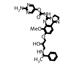 COc1c(OC[C@H](O)CN[C@@H](C)c2ccccc2)ccc2c1N=C(NC(=O)Oc1cnc(N)nc1)N1CCN=C21